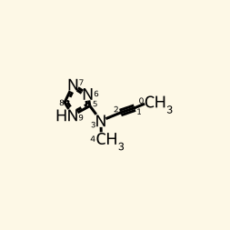 CC#CN(C)c1nnc[nH]1